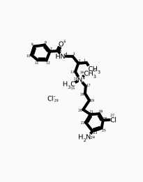 CCC(CNC(=O)c1ccccc1)C[N+](C)(C)CCCCc1cc(N)cc(Cl)c1.[Cl-]